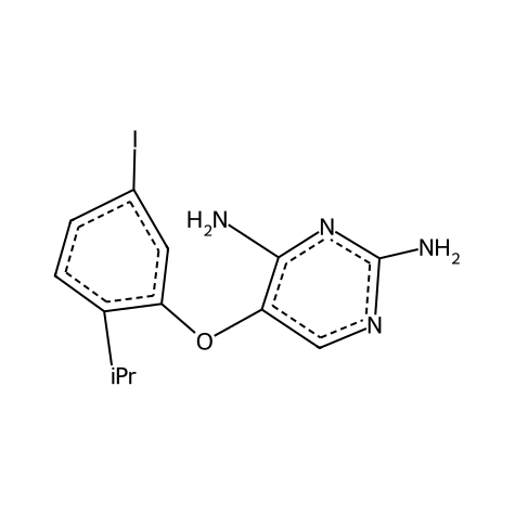 CC(C)c1ccc(I)cc1Oc1cnc(N)nc1N